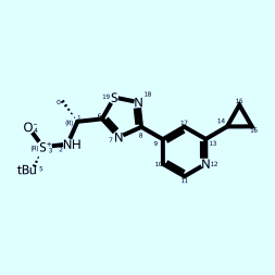 C[C@@H](N[S@@+]([O-])C(C)(C)C)c1nc(-c2ccnc(C3CC3)c2)ns1